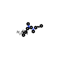 CC1(C)c2ccccc2-c2ccc(-c3ccc4c(c3)c3cc(N(c5ccccc5)c5ccc(/C=C/c6ccccc6)cc5)ccc3n4-c3ccccc3)cc21